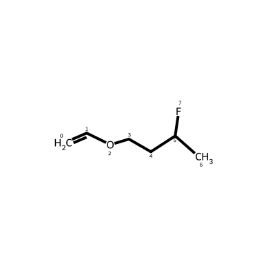 C=COCCC(C)F